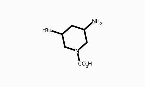 CC(C)(C)C1CC(N)CN(C(=O)O)C1